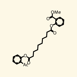 COC(=O)c1ccccc1OC(=O)CCCCCCCCC(=O)Oc1ccccc1C(C)=O